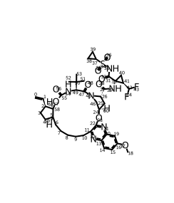 C=C[C@@H]1CC[C@H]2CCCCCc3nc4ccc(OC)cc4nc3O[C@@H]3C[C@@H](C(=O)N[C@]4(C(=O)NS(=O)(=O)C5CC5)C[C@H]4C(F)F)N(C3)C(=O)[C@H](C(C)(C)C)NC(=O)O[C@@H]21